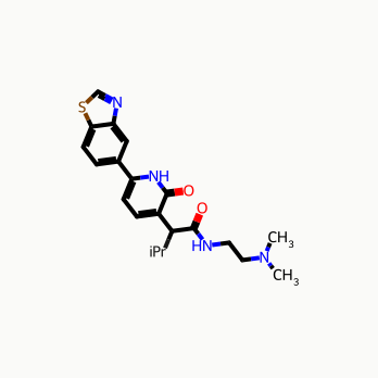 CC(C)C(C(=O)NCCN(C)C)c1ccc(-c2ccc3scnc3c2)[nH]c1=O